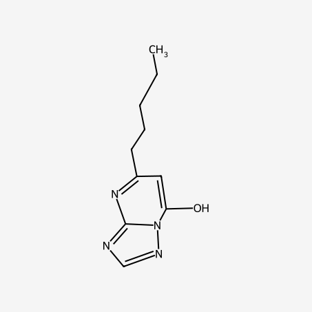 CCCCCc1cc(O)n2ncnc2n1